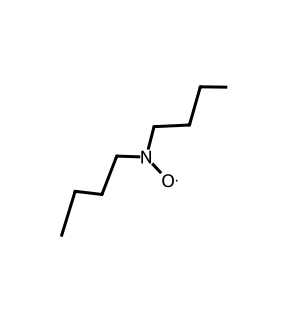 CCCCN([O])CCCC